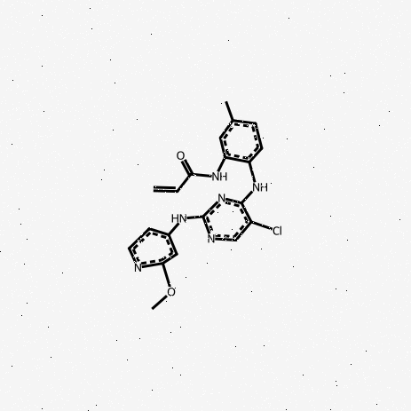 C=CC(=O)Nc1cc(C)ccc1Nc1nc(Nc2ccnc(OC)c2)ncc1Cl